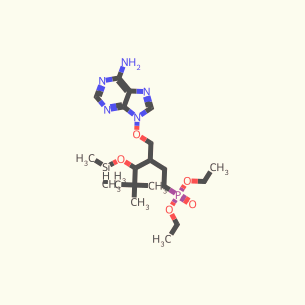 CCOP(=O)(CCC(COn1cnc2c(N)ncnc21)C(O[SiH](C)C)C(C)(C)C)OCC